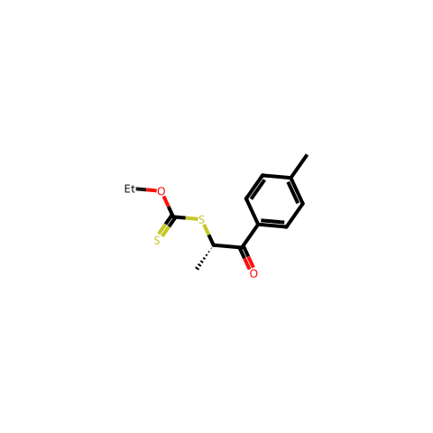 CCOC(=S)S[C@@H](C)C(=O)c1ccc(C)cc1